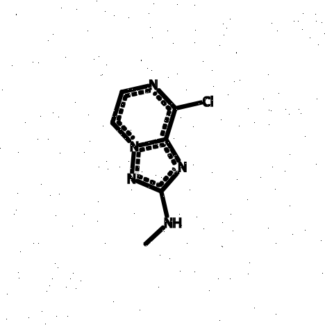 CNc1nc2c(Cl)nccn2n1